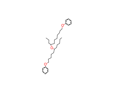 CCCCCC(CCCCCOc1ccccc1)OC(CCC)CCCCCCCOc1ccccc1